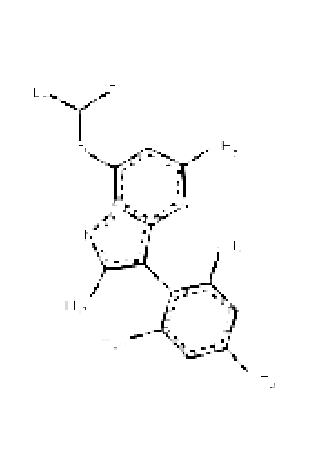 CCC(CC)Oc1cc(C)nc2c(-c3c(C)cc(C)cc3C)c(C)nn12